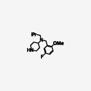 COc1ccc(F)cc1CN(CC(C)C)C1CCNCC1